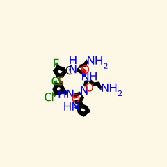 CN1C(=O)[C@H](CCCCN)NC(=O)[C@H](CCCN)NCc2cc(F)ccc2Sc2c(Cl)cc(Cl)cc2CNC(=O)[C@@H]1Cc1c[nH]c2ccccc12